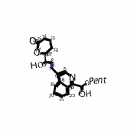 CCCCCC(O)c1ncc(/C=C/C(O)[C@@H]2CCCC(=O)O2)c2ccccc12